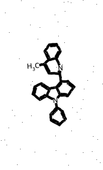 Cc1cc(-c2cccc3c2c2ccccc2n3-c2ccccc2)nc2ccccc12